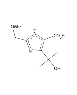 CCOC(=O)c1[nH]c(COC)nc1C(C)(C)O